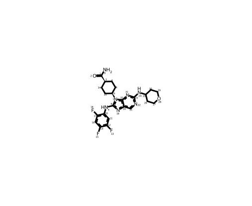 NC(=O)[C@H]1CC[C@@H](n2c(Nc3cc(F)c(F)cc3F)nc3cnc(NC4CCOCC4)nc32)CC1